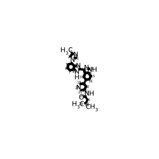 Cc1cn(-c2cccc3[nH]c(-c4n[nH]c5ccc(-c6cncc(NC(=O)CC(C)C)c6)cc45)nc23)cn1